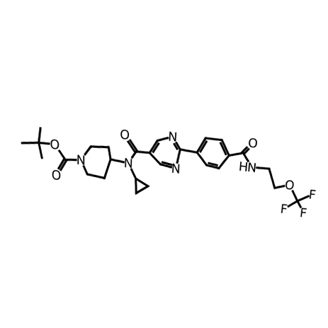 CC(C)(C)OC(=O)N1CCC(N(C(=O)c2cnc(-c3ccc(C(=O)NCCOC(F)(F)F)cc3)nc2)C2CC2)CC1